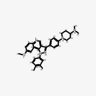 COc1ccc2ncc3c(-c4ccc(N5CCC(N(C)C)CC5)cc4)nn(-c4ccc(C)c(C)c4)c3c2c1